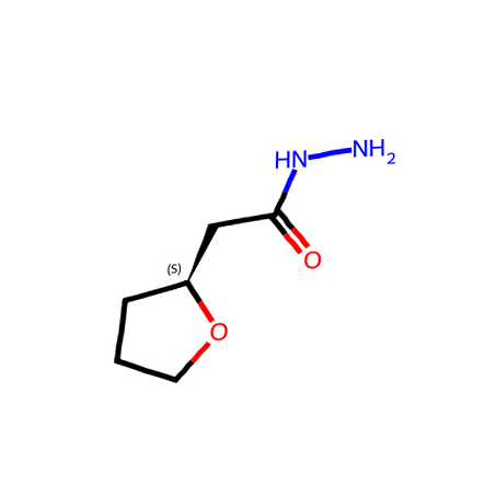 NNC(=O)C[C@@H]1CCCO1